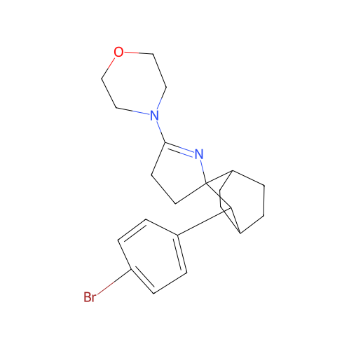 Brc1ccc(C2C3CCC(CC3)C23CCC(N2CCOCC2)=N3)cc1